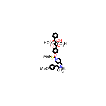 CCN(CC1CCN(C(=O)SNC)CC1)C(C)Cc1ccc(OC)cc1.O=C(O)C(O)(C(=O)c1ccccc1)C(O)(C(=O)O)C(=O)c1ccccc1